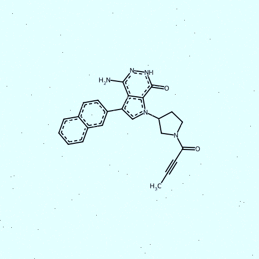 CC#CC(=O)N1CCC(n2cc(-c3ccc4ccccc4c3)c3c(N)n[nH]c(=O)c32)C1